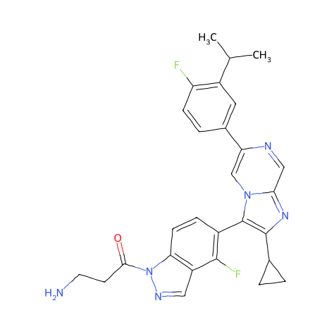 CC(C)c1cc(-c2cn3c(-c4ccc5c(cnn5C(=O)CCN)c4F)c(C4CC4)nc3cn2)ccc1F